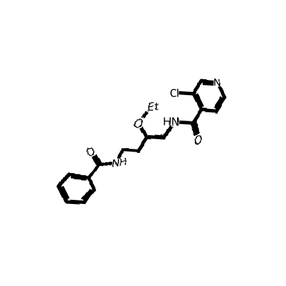 CCOC(CCNC(=O)c1ccccc1)CNC(=O)c1ccncc1Cl